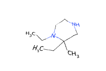 CCN1CCNCC1(C)CC